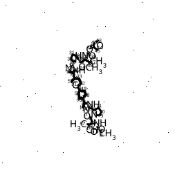 COC(=O)N[C@H](C(=O)N1CCCC1c1ncc(-c2ccc(-c3ccc(-c4cnc([C@@H]5CCCN5C(=O)[C@@H](NC(=O)O[C@H]5CCOC5)C(C)C)[nH]4)cc3)cc2)[nH]1)C(C)C